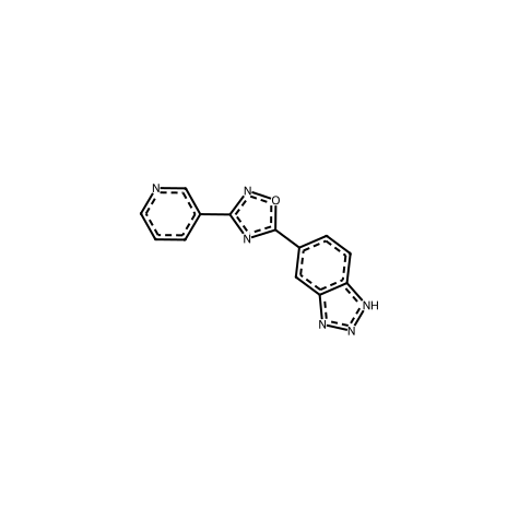 c1cncc(-c2noc(-c3ccc4[nH]nnc4c3)n2)c1